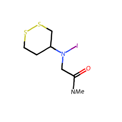 CNC(=O)CN(I)C1CCSSC1